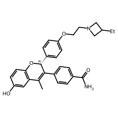 CCC1CN(CCOc2ccc([C@H]3Oc4ccc(O)cc4C(C)=C3c3ccc(C(N)=O)cc3)cc2)C1